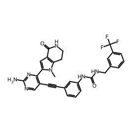 Cn1c(-c2nc(N)ncc2C#Cc2cccc(NC(=O)NCc3cccc(C(F)(F)F)c3)c2)cc2c1CCNC2=O